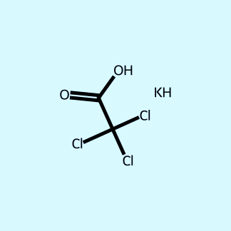 O=C(O)C(Cl)(Cl)Cl.[KH]